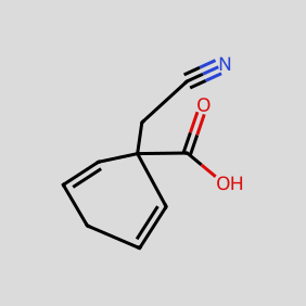 N#CCC1(C(=O)O)C=CCC=C1